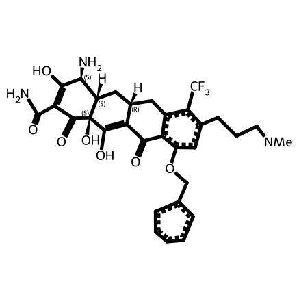 CNCCCc1cc(OCc2ccccc2)c2c(c1C(F)(F)F)C[C@H]1C[C@H]3[C@H](N)C(O)=C(C(N)=O)C(=O)[C@@]3(O)C(O)=C1C2=O